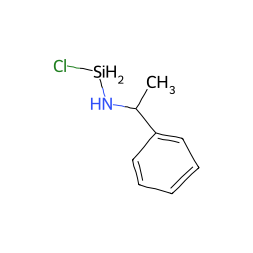 CC(N[SiH2]Cl)c1ccccc1